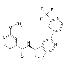 COc1cc(C(=O)N[C@@H]2CCc3cnc(-c4ccnc(C(F)(F)F)c4)cc32)ccn1